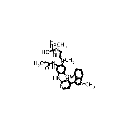 BC(B)(O)N(C)CCN(C)c1cc(OC)c(Nc2nccc(-c3cn(C)c4ccccc34)n2)cc1NC(=O)C=C